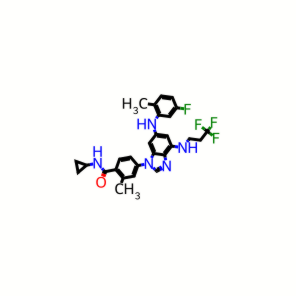 Cc1ccc(F)cc1Nc1cc(NCCC(F)(F)F)c2ncn(-c3ccc(C(=O)NC4CC4)c(C)c3)c2c1